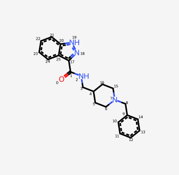 O=C(NCC1CCN(Cc2ccccc2)CC1)c1n[nH]c2ccccc12